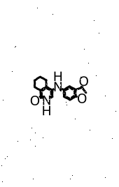 O=C1COc2ccc(Nc3c[nH]c(=O)c4c3CCCC4)cc21